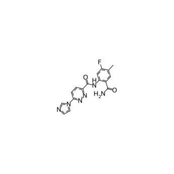 Cc1cc(C(N)=O)c(NC(=O)c2ccc(-n3ccnc3)nn2)cc1F